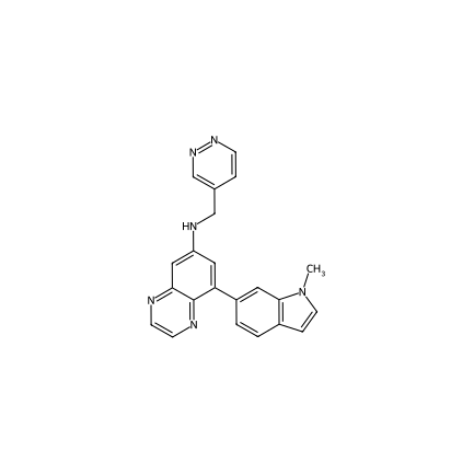 Cn1ccc2ccc(-c3cc(NCc4ccnnc4)cc4nccnc34)cc21